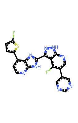 Fc1ccc(-c2ccnc3[nH]c(-c4n[nH]c5ncc(-c6cncnc6)c(F)c45)nc23)s1